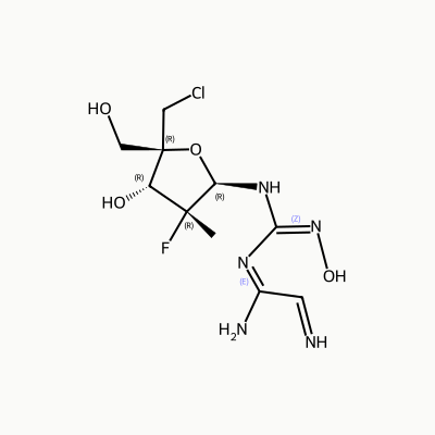 C[C@]1(F)[C@H](NC(=N/O)/N=C(/N)C=N)O[C@@](CO)(CCl)[C@H]1O